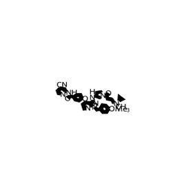 COc1ccc(Cn2nc(N[C@@H]3CCN(C(=O)C=CCN(C)C4CC4)C3)c3c(Oc4ccc(C(=O)Nc5cc(C#N)ccn5)cc4)ccnc32)cc1